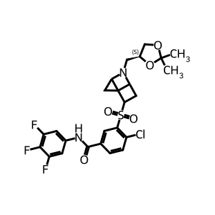 CC1(C)OC[C@H](CN2C3CC(S(=O)(=O)c4cc(C(=O)Nc5cc(F)c(F)c(F)c5)ccc4Cl)C34CC24)O1